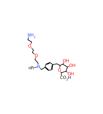 CCCN(CCOCCOCCN)Cc1ccc(CC2OC(C(=O)O)C(O)C(O)C2O)cc1